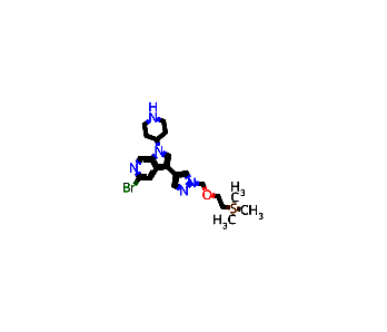 CS(C)(C)CCOCn1cc(-c2cn(C3CCNCC3)c3cnc(Br)cc23)cn1